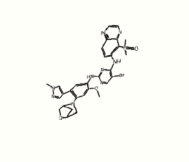 COc1cc(N2CC3CC2CO3)c(-c2cnn(C)c2)cc1Nc1ncc(Br)c(Nc2ccc3nccnc3c2P(C)(C)=O)n1